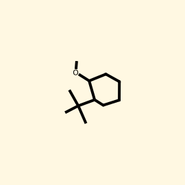 COC1CCCCC1C(C)(C)C